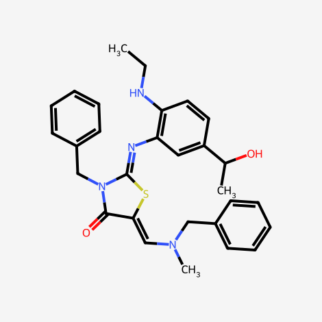 CCNc1ccc(C(C)O)cc1/N=C1\S/C(=C\N(C)Cc2ccccc2)C(=O)N1Cc1ccccc1